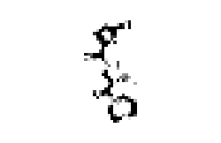 N[C@@H](CNC(=O)c1ccc(Cl)s1)C(=O)N1CCCCCC1